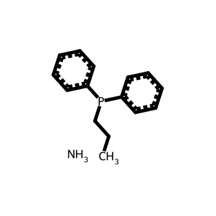 CCCP(c1ccccc1)c1ccccc1.N